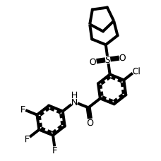 O=C(Nc1cc(F)c(F)c(F)c1)c1ccc(Cl)c(S(=O)(=O)C2CC3CCC(C3)C2)c1